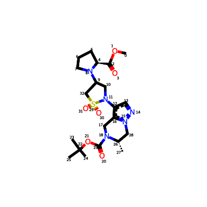 COC(=O)[C@@H]1CCCN1C1CN(c2cnn3c2CN(C(=O)OC(C)(C)C)[C@@H](C)C3)S(=O)(=O)C1